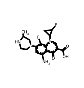 CC1CN(c2cc(N)c3c(=O)c(C(=O)O)cn(C4CC4F)c3c2F)CCN1